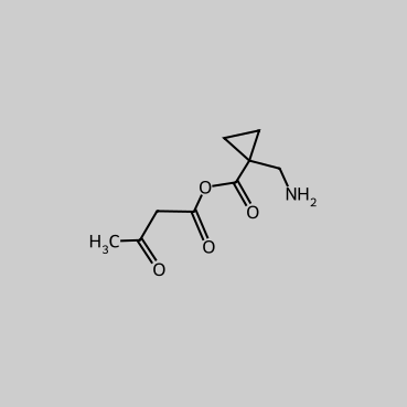 CC(=O)CC(=O)OC(=O)C1(CN)CC1